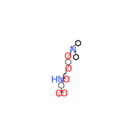 COC(=O)C1CCC(NC(=O)/C=C/COC2CCC(OCCN(Cc3ccccc3)Cc3ccccc3)CC2)CC1